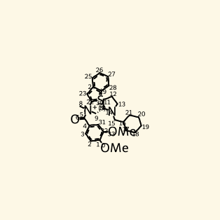 COc1ccc(C(=O)[N+](C)(C[C@@H]2CCCN2CC2CCCCC2)c2cc3ccccc3s2)cc1OC